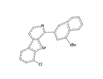 CC(C)(C)c1cc(-c2nccc3c2[se]c2c(Cl)cccc23)cc2ccccc12